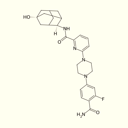 NC(=O)c1ccc(N2CCN(c3cccc(C(=O)N[C@H]4C5CC6CC4C[C@](O)(C6)C5)n3)CC2)cc1F